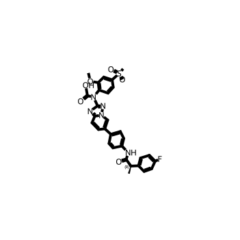 COc1cc(S(C)(=O)=O)ccc1N(C(=O)O)c1nc2ccc(-c3ccc(NC(=O)[C@H](C)c4ccc(F)cc4)cc3)cn2n1